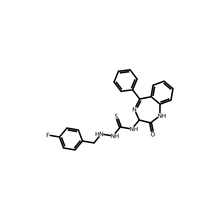 O=C1Nc2ccccc2C(c2ccccc2)=NC1NC(=S)NNCc1ccc(F)cc1